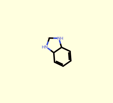 [C]1NC2C=CC=CC2N1